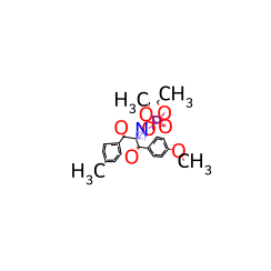 CCOP(=O)(OCC)O/N=C(/C(=O)c1ccc(C)cc1)C(=O)c1ccc(OC)cc1